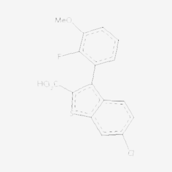 COc1cccc(-c2c(C(=O)O)sc3cc(Cl)ccc23)c1F